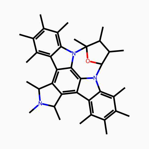 Cc1c(C)c(C)c2c(c1C)c1c3c(c4c5c(C)c(C)c(C)c(C)c5n5c4c1n2C1OC5(C)C(C)C1C)C(C)N(C)C3C